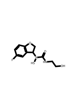 O=C(NCCO)N(S)C1COc2ccc(F)cc21